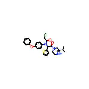 CC(C)[C@H]1CN(C(=O)C(c2cccs2)N(C(=O)CCl)c2ccc(Oc3ccccc3)cc2)CCN1